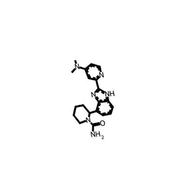 CN(C)c1ccnc(-c2nc3c(C4CCCCN4C(N)=O)cccc3[nH]2)c1